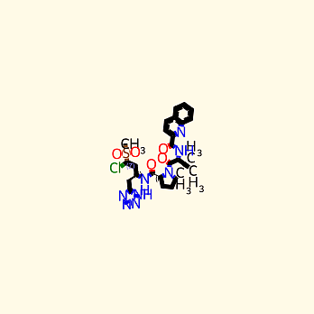 CC(C)(C)C(NC(=O)c1ccc2ccccc2n1)C(=O)N1CCC[C@@H]1C(=O)N[C@H](/C=C(\Cl)S(C)(=O)=O)Cc1nnn[nH]1